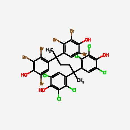 CC(CCC(C)(c1cc(Br)c(O)c(Br)c1Br)c1cc(Br)c(O)c(Br)c1Br)(c1cc(Cl)c(O)c(Cl)c1Cl)c1cc(Cl)c(O)c(Cl)c1Cl